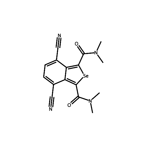 CN(C)C(=O)c1[se]c(C(=O)N(C)C)c2c(C#N)ccc(C#N)c12